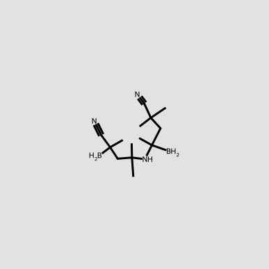 BC(C)(C#N)CC(C)(C)NC(B)(C)CC(C)(C)C#N